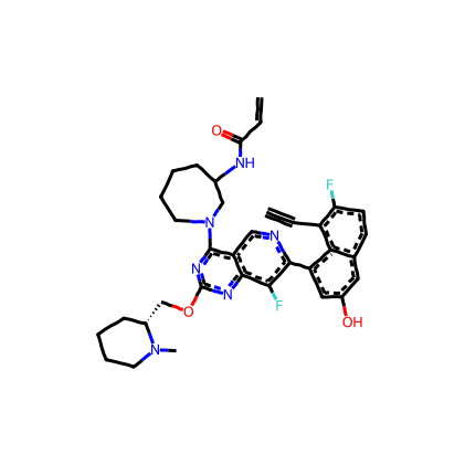 C#Cc1c(F)ccc2cc(O)cc(-c3ncc4c(N5CCCCC(NC(=O)C=C)C5)nc(OC[C@H]5CCCCN5C)nc4c3F)c12